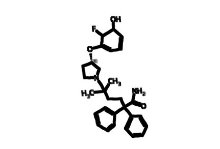 CC(C)(CCC(C(N)=O)(c1ccccc1)c1ccccc1)N1CC[C@H](OC2=CC=CC(O)C2F)C1